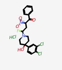 Cl.O=C(c1ccccc1)C(CC(F)N1CCC(O)(c2ccc(Cl)c(Cl)c2)CC1)[N+](=O)[O-]